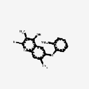 CCc1nc2cc(C)c(Oc3ccccc3OC)cc2c(O)c1C